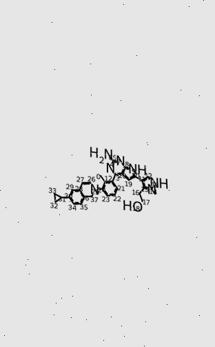 Cc1c(-c2nc(N)nc3[nH]c(-c4c[nH]nc4CCO)cc23)cccc1N1C=Cc2cc(C3CC3)ccc2C1